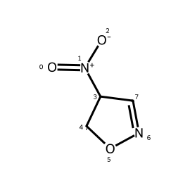 O=[N+]([O-])C1[CH]ON=C1